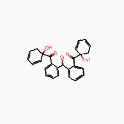 O=C(c1ccccc1C(=O)C1(O)C=CC=CC1)c1ccccc1C(=O)C1(O)C=CC=CC1